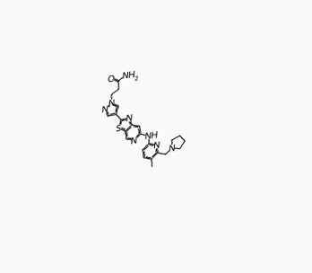 Cc1ccc(Nc2cc3nc(-c4cnn(CCC(N)=O)c4)sc3cn2)nc1CN1CCCC1